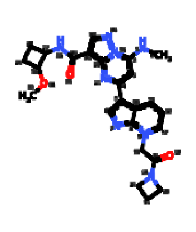 CNc1cc(-c2cnc3n(CC(=O)N4CCC4)cccc2-3)nc2c(C(=O)NC3CCC3OC)cnn12